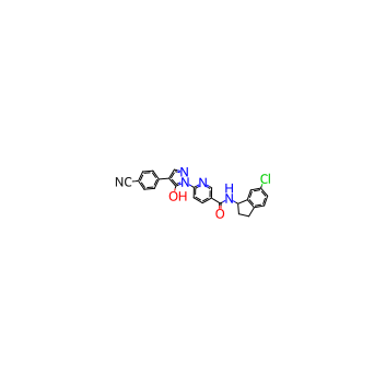 N#Cc1ccc(-c2cnn(-c3ccc(C(=O)NC4CCc5ccc(Cl)cc54)cn3)c2O)cc1